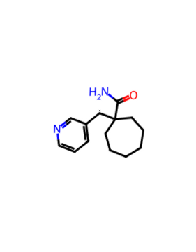 NC(=O)C1([CH]c2cccnc2)CCCCCC1